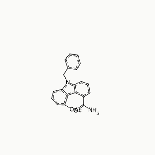 CC(=O)Oc1cccc2c1c1c(C(N)=O)cccc1n2Cc1ccccc1